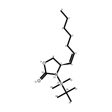 CCCCC/C=C\[C@@H]1COC(=O)N1[Si](C)(C)C(C)(C)C